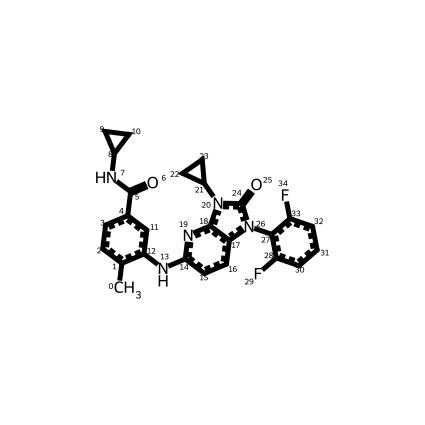 Cc1ccc(C(=O)NC2CC2)cc1Nc1ccc2c(n1)n(C1CC1)c(=O)n2-c1c(F)cccc1F